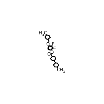 CC1CCC(COc2ccc(OC(=O)C3CCC(C4CCC(C)CC4)CC3)c(F)c2F)CC1